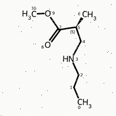 CCCNC[C@H](C)C(=O)OC